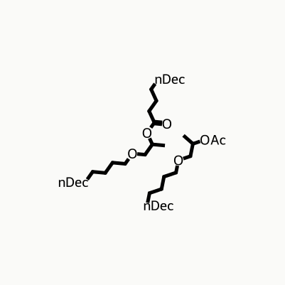 CCCCCCCCCCCCCCOCC(C)OC(=O)CCCCCCCCCCCCC.CCCCCCCCCCCCCCOCC(C)OC(C)=O